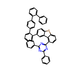 c1ccc(-c2nc(-c3ccccc3)nc(-c3cccc4sc5ccc(-c6ccccc6-c6ccc(-c7ccccc7-c7ccccc7)cc6)cc5c34)n2)cc1